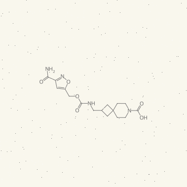 NC(=O)c1cc(COC(=O)NCC2CC3(CCN(C(=O)O)CC3)C2)on1